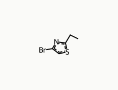 CCc1nc(Br)cs1